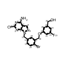 Nc1nc(Cl)nc2c1cnn2Cc1ccc(Br)c(COc2cc(F)cc(CO)c2)c1